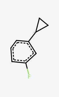 Fc1cccc([C]2CC2)c1